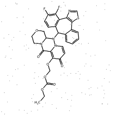 CCOC(=O)OCOc1c2n(ccc1=O)N(C1c3ccccc3-c3scnc3-c3c1ccc(F)c3F)C1COCCN1C2=O